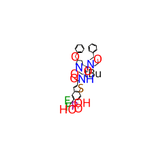 CC(C)(C)C(NC(=O)c1cc2cc(C(F)(F)P(=O)(O)O)ccc2s1)C(=O)N1C[C@@H](Oc2ccccc2)C[C@H]1C(=O)N1CCO[C@H](c2ccccc2)C1